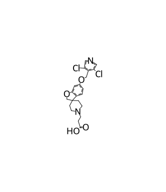 O=C(O)CCN1CCC2(CC1)COc1cc(OCc3c(Cl)cncc3Cl)ccc12